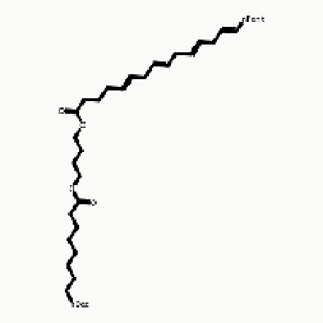 CCCCCC=CCC=CCC=CCC=CCCCC(=O)OCCCCOC(=O)CCCCCCCCCCCCCCCCC